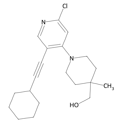 CC1(CO)CCN(c2cc(Cl)ncc2C#CC2CCCCC2)CC1